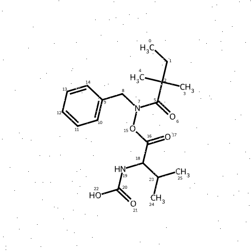 CCC(C)(C)C(=O)N(Cc1ccccc1)OC(=O)C(NC(=O)O)C(C)C